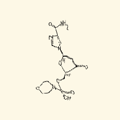 NC(=O)c1ncn([C@H]2CC(=O)[C@@H](COP(=O)(O)N3CCOCC3)O2)n1